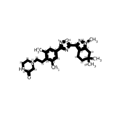 Cc1cc(-c2noc(-c3nn(C)c4c3CCC(C)(C)C4)n2)cc(C)c1CCN1CCNC(=O)C1